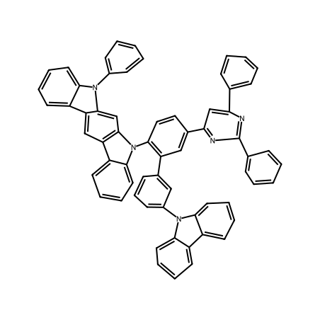 c1ccc(-c2cc(-c3ccc(-n4c5ccccc5c5cc6c7ccccc7n(-c7ccccc7)c6cc54)c(-c4cccc(-n5c6ccccc6c6ccccc65)c4)c3)nc(-c3ccccc3)n2)cc1